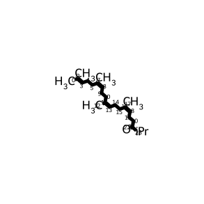 CC(C)=CCCC(C)=CCCC(C)=CCCC(C)=CCCC(=O)C(C)C